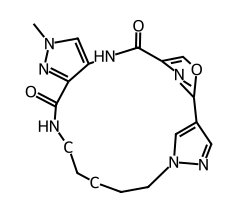 Cn1cc2c(n1)C(=O)NCCCCCn1cc(cn1)-c1nc(co1)C(=O)N2